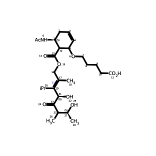 CC(=O)N[C@H]1CC=CC(OCCCCC(=O)O)C1C(=O)OC/C(C)=C(\C(C)C)[C@@H](O)C(=O)C(C)[C@H](C)O